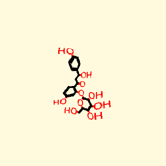 O=C(CC(O)c1ccc(O)cc1)c1ccc(O)cc1OC1OC(CO)C(O)C(O)C1O